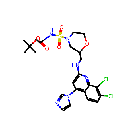 CC(C)(C)OC(=O)NS(=O)(=O)N1CCOC(CNc2cc(-n3ccnc3)c3ccc(Cl)c(Cl)c3n2)C1